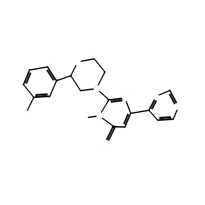 Cn1c(N2CCOC(c3cccc(Cl)c3)C2)nc(-c2ccncn2)cc1=O